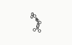 COc1ccc(C=NOCC(=O)N2CCN(C(c3ccccc3)c3ccccc3)CC2)cc1OC